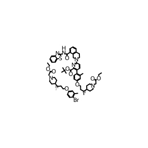 CCOC(=O)CN1CCC([C@@H](C)CCOc2ccc(-c3ccc(N4CCc5cccc(C(=O)Nc6nc7ccccc7s6)c5C4)nc3C(=O)OC(C)(C)C)c(C)c2)CC1.CCOC(=O)CN1CCC([C@@H](C)CCOc2ccc(Br)c(C)c2)CC1